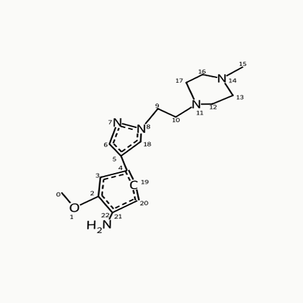 COc1cc(-c2cnn(CCN3CCN(C)CC3)c2)ccc1N